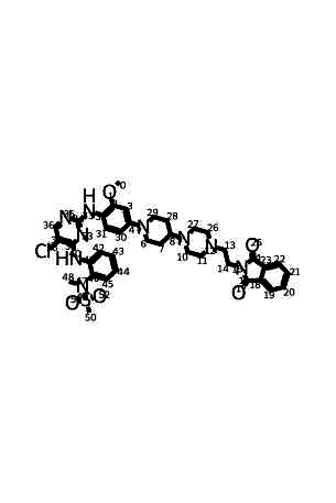 COc1cc(N2CCC(N3CCN(CCN4C(=O)c5ccccc5C4=O)CC3)CC2)ccc1Nc1ncc(Cl)c(Nc2ccccc2N(C)S(C)(=O)=O)n1